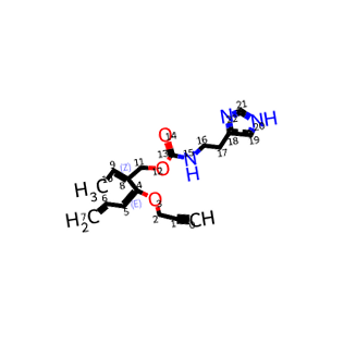 C#CCOC(=C/C=C)/C(=C\C)COC(=O)NCCc1c[nH]cn1